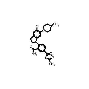 Cc1noc(-c2ccc(N3CCc4cc(Cl)c(N5CCN(C)CC5)cc43)c(C(N)=O)c2)n1